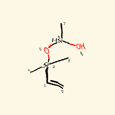 C=C[Si](C)(C)O[SiH](C)O